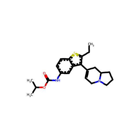 CCc1sc2ccc(NC(=O)OC(C)C)cc2c1C1=CCN2CCCC2C1